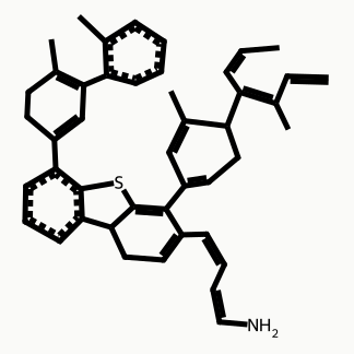 C=C/C(C)=C(\C=C/C)C1CC=C(C2=C3Sc4c(C5=CC(c6ccccc6C)=C(C)CC5)cccc4C3CC=C2/C=C\C=C/N)C=C1C